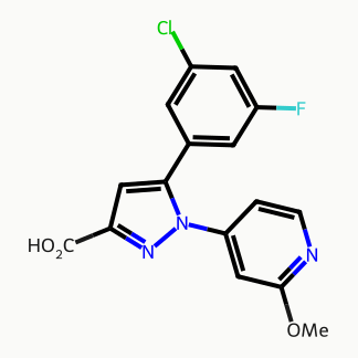 COc1cc(-n2nc(C(=O)O)cc2-c2cc(F)cc(Cl)c2)ccn1